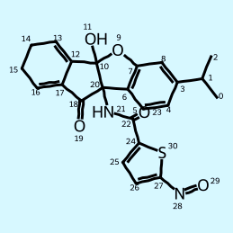 CC(C)c1ccc2c(c1)OC1(O)C3=CCCC=C3C(=O)C21NC(=O)c1ccc(N=O)s1